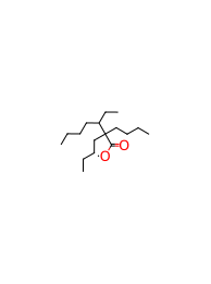 CCCCC(CC)C(CCCC)(CCCC)C([O])=O